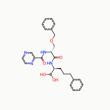 O=C(N[C@H](COCc1ccccc1)C(=O)N[C@@H](CCCc1ccccc1)B(O)O)c1cnccn1